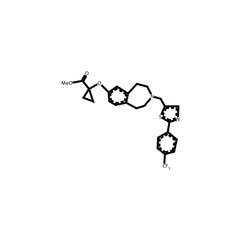 COC(=O)C1(Oc2ccc3c(c2)CCN(Cc2cnc(-c4ccc(C(F)(F)F)cc4)s2)CC3)CC1